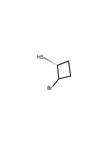 S[C@@H]1CCC1Br